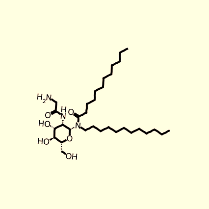 CCCCCCCCCCCCN(C(=O)CCCCCCCCCCC)[C@@H]1O[C@H](CO)[C@@H](O)[C@H](O)[C@@H]1NC(=O)CN